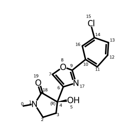 CN1CC[C@@](O)(c2coc(-c3cccc(Cl)c3)n2)C1=O